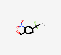 CC(F)(F)c1ccc(C=O)c([N+](=O)[O-])c1